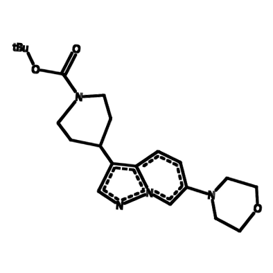 CC(C)(C)OC(=O)N1CCC(c2cnn3cc(N4CCOCC4)ccc23)CC1